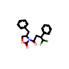 O=C(CC(c1ccccc1)C(F)F)N1C(=O)OCC1Cc1ccccc1